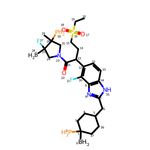 BC1(P)CCC(Cc2nc3c(F)c(C(CCS(=O)(=O)CC)C(=O)N4CC(B)(F)C(C)(P)C4)ccc3[nH]2)CC1